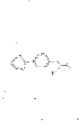 COC(Br)Cc1ccc(-c2ccccc2)cc1